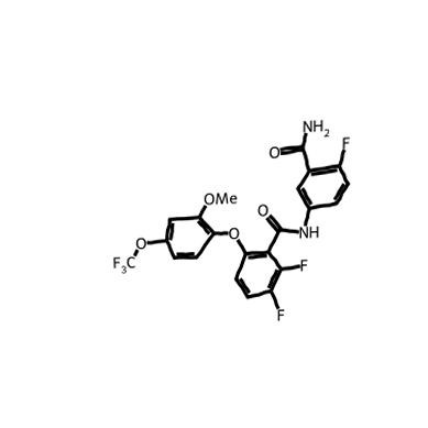 COc1cc(OC(F)(F)F)ccc1Oc1ccc(F)c(F)c1C(=O)Nc1ccc(F)c(C(N)=O)c1